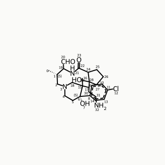 C[C@@H](CN1CC[C@](O)(c2ccc(Cl)cc2)C(C)(C)C1)C(C=O)NC(=O)C1CCCC1(O)CCN